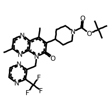 Cc1cnc2c(C)c(C3CCN(C(=O)OC(C)(C)C)CC3)c(=O)n(Cc3nccnc3C(F)(F)F)c2n1